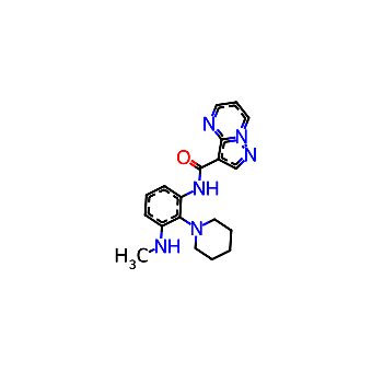 CNc1cccc(NC(=O)c2cnn3cccnc23)c1N1CCCCC1